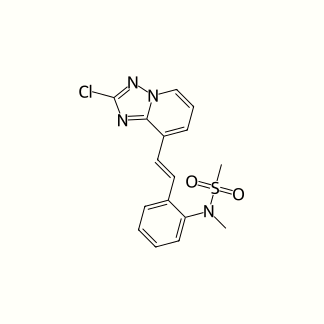 CN(c1ccccc1C=Cc1cccn2nc(Cl)nc12)S(C)(=O)=O